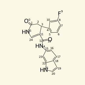 O=C1CC(c2cccc(F)c2)C(C(=O)Nc2ccc3cc[nH]c3c2)=CN1